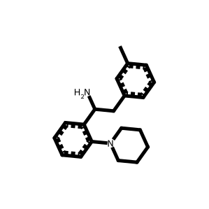 Cc1cccc(CC(N)c2ccccc2N2CCCCC2)c1